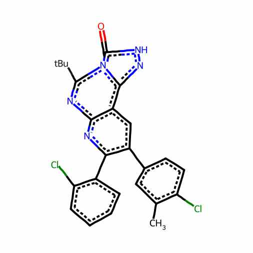 Cc1cc(-c2cc3c(nc2-c2ccccc2Cl)nc(C(C)(C)C)n2c(=O)[nH]nc32)ccc1Cl